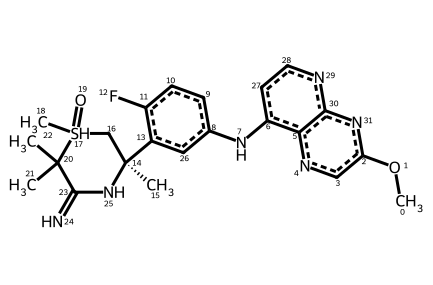 COc1cnc2c(Nc3ccc(F)c([C@]4(C)C[SH](C)(=O)C(C)(C)C(=N)N4)c3)ccnc2n1